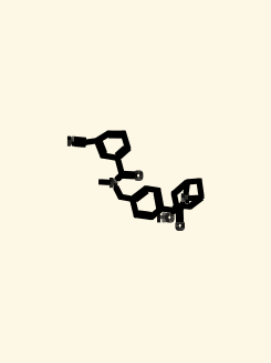 CN(Cc1ccc(C(=O)N2C3CC(O)CC2C3)cc1)C(=O)c1cccc(C#N)c1